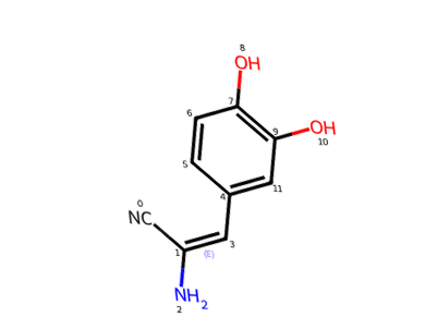 N#C/C(N)=C\c1ccc(O)c(O)c1